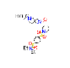 CCN(CC)S(=O)(=O)c1ccc(S(=O)(=O)N2CCC[C@@H](C(=O)N3CC4(CCN(C(=O)O)C4)C3)C2)cc1